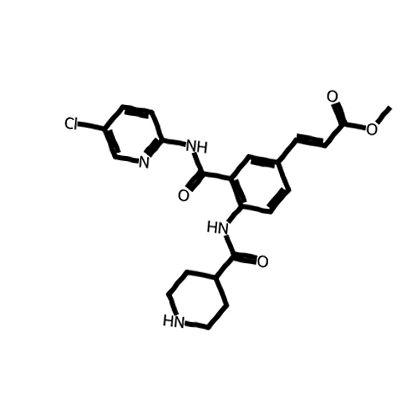 COC(=O)/C=C/c1ccc(NC(=O)C2CCNCC2)c(C(=O)Nc2ccc(Cl)cn2)c1